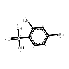 CCCCc1ccc(P(=O)(O)O)c(N)c1